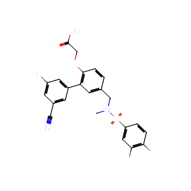 CN(Cc1ccc(OCC(=O)O)c(-c2cc(F)cc(C#N)c2)c1)S(=O)(=O)c1ccc(F)c(F)c1